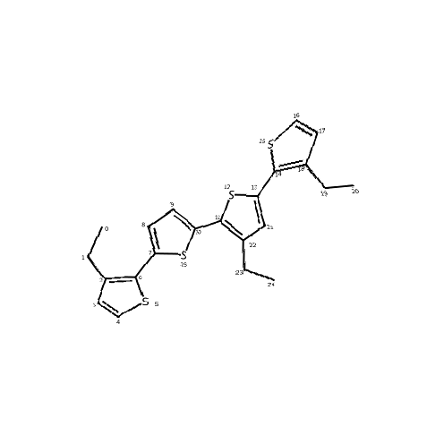 CCc1ccsc1-c1ccc(-c2sc(-c3sccc3CC)cc2CC)s1